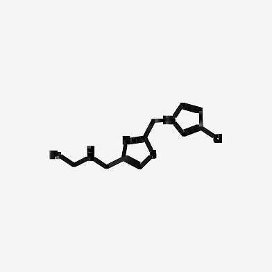 CC(C)CNCc1csc(C[SH]2C=CC(Cl)=C2)n1